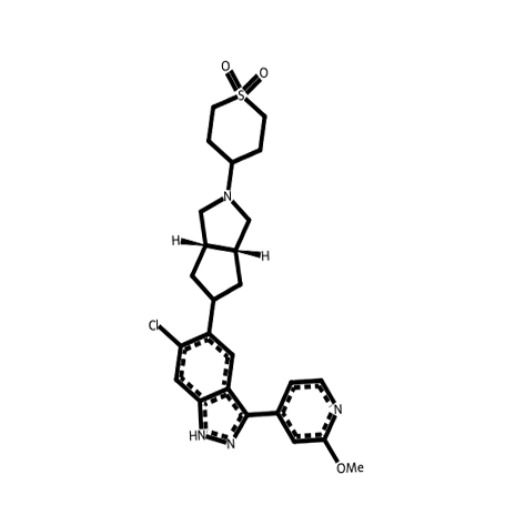 COc1cc(-c2n[nH]c3cc(Cl)c(C4C[C@@H]5CN(C6CCS(=O)(=O)CC6)C[C@@H]5C4)cc23)ccn1